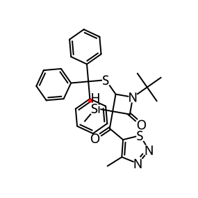 Cc1nnsc1C(=O)C1([SiH](C)C)C(=O)N(C(C)(C)C)C1SC(c1ccccc1)(c1ccccc1)c1ccccc1